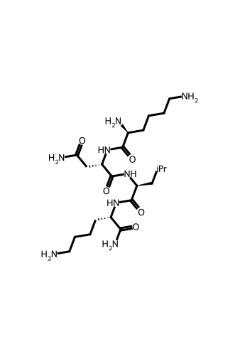 CC(C)C[C@H](NC(=O)[C@H](CC(N)=O)NC(=O)[C@@H](N)CCCCN)C(=O)N[C@@H](CCCCN)C(N)=O